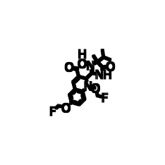 CC(C)C1(C)N=C(C2C(C(=O)O)=Cc3cc(OCF)ccc3N2OCF)NC1=O